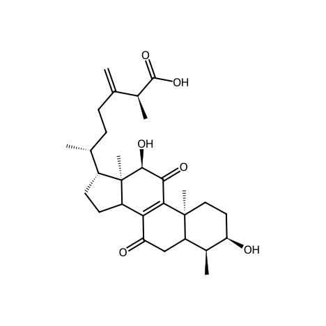 C=C(CC[C@@H](C)[C@H]1CCC2C3=C(C(=O)[C@H](O)[C@@]21C)[C@@]1(C)CC[C@@H](O)[C@@H](C)C1CC3=O)[C@H](C)C(=O)O